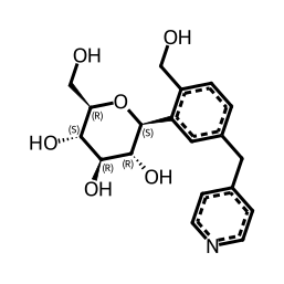 OCc1ccc(Cc2ccncc2)cc1[C@@H]1O[C@H](CO)[C@@H](O)[C@H](O)[C@H]1O